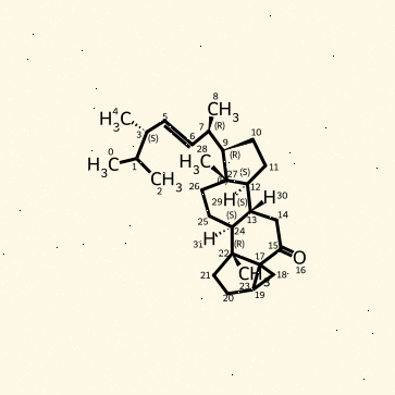 CC(C)[C@H](C)C=C[C@@H](C)[C@H]1CC[C@H]2[C@@H]3CC(=O)C45CC4CC[C@]5(C)[C@H]3CC[C@]12C